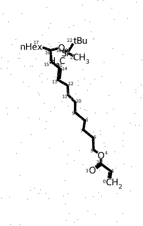 C=CC(=O)OCCCCCCCCC=CCC(CCCCCC)O[Si](C)(C)C(C)(C)C